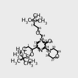 CCC(O[Si](C)(C)C(C)(C)C)c1cn(COCC[Si](C)(C)C)c(=O)c(N2CCOCC2)n1